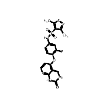 Cc1noc(C)c1S(=O)(=O)Nc1ccc(Oc2ccnc3c2CNC(=O)N3)c(F)c1